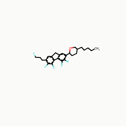 CCCCCC1CCC(c2cc3c(c(F)c2F)-c2c(cc(CCCF)c(F)c2F)C3)OC1